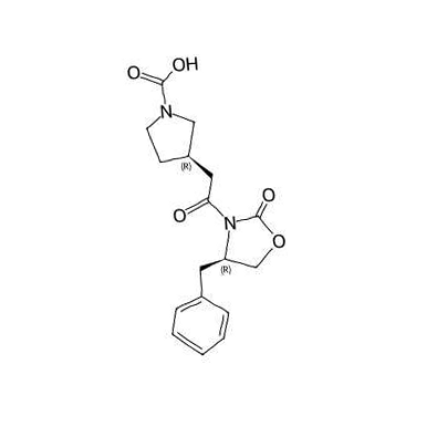 O=C(O)N1CC[C@H](CC(=O)N2C(=O)OC[C@H]2Cc2ccccc2)C1